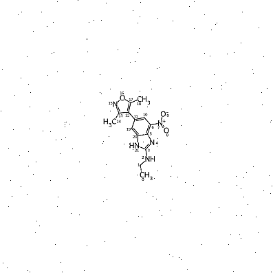 CCNc1nc2c([N+](=O)[O-])cc(-c3c(C)noc3C)cc2[nH]1